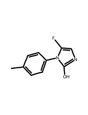 Cc1ccc(-n2c(F)cnc2O)cc1